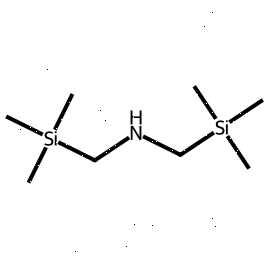 C[Si](C)(C)CNC[Si](C)(C)C